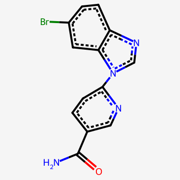 NC(=O)c1ccc(-n2cnc3ccc(Br)cc32)nc1